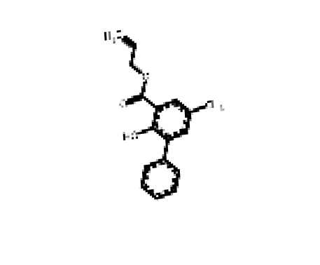 C=CCOC(=O)c1cc(C)cc(-c2ccccc2)c1O